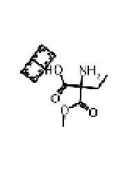 CCC(N)(C(=O)O)C(=O)OC.c1cc2ccc1-2